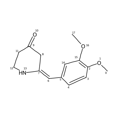 COc1ccc(/C=C2\CC(=O)CCN2)cc1OC